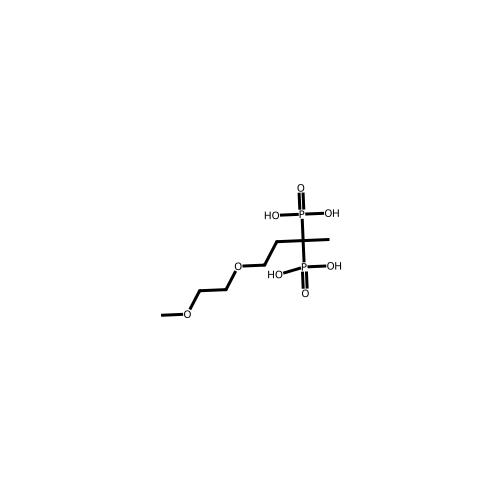 COCCOCCC(C)(P(=O)(O)O)P(=O)(O)O